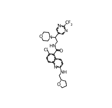 O=C(NCC(c1cnc(C(F)(F)F)nc1)N1CCOCC1)c1c(Cl)ccc2nc(NCC3CCCO3)ccc12